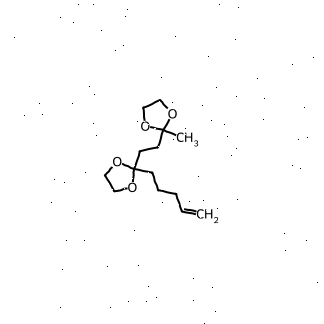 C=CCCCC1(CCC2(C)OCCO2)OCCO1